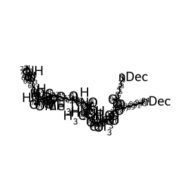 CCCCCCCCCCCCCCCCCC(=O)OCC(COP(=O)(O)OCCNC(=O)C(C)(C)OCCC(C)(C)Nc1c(NCCNC(=O)CCCOc2cc(C)c(S(=O)(=O)CNC(NC(=O)CCCCc3ccc4c(n3)NCCC4)C(=O)OC)c(C)c2)c(=O)c1=O)OC(=O)CCCCCCCCCCCCCCCCC